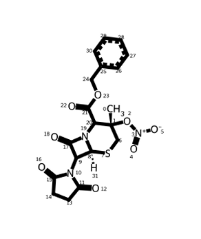 C[C@@]1(O[N+](=O)[O-])CS[C@H]2C(N3C(=O)CCC3=O)C(=O)N2C1C(=O)OCc1ccccc1